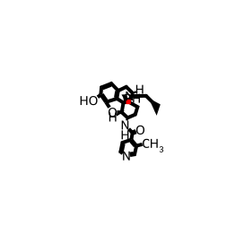 Cc1cnccc1C(=O)N[C@@H]1CC[C@@]2(O)[C@H]3Cc4ccc(O)c5c4[C@@]2(CCN3CC2CC2)[C@H]1O5